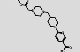 CCOC(=O)CN1CCN(CC2CCN(c3ccc(C(=O)O)cn3)CC2)CC1